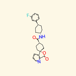 O=C1O[C@]2(CC[C@H](C(=O)N[C@H]3CC[C@H](c4cccc(F)c4)CC3)CC2)c2cccnc21